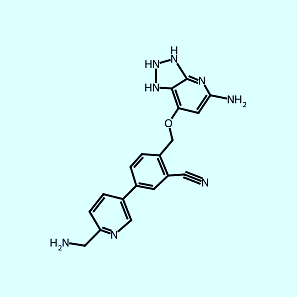 N#Cc1cc(-c2ccc(CN)nc2)ccc1COc1cc(N)nc2c1NNN2